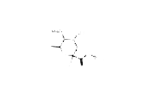 CNC1C(O)CC(O)(C(=O)ON)OC1C